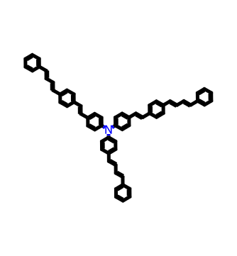 C(/C=C/c1ccc(/C=C/c2ccc(N(c3ccc(/C=C/C=C/c4ccccc4)cc3)c3ccc(/C=C/c4ccc(/C=C/C=C/c5ccccc5)cc4)cc3)cc2)cc1)=C\c1ccccc1